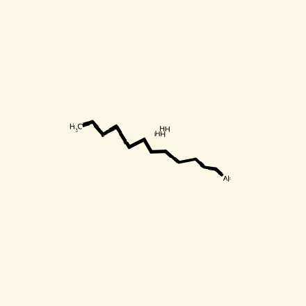 CCCCCCCCCCC[CH2][Al].[HH].[HH]